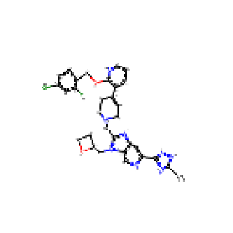 Cc1nnc(-c2cc3nc(CN4CC=C(c5cccnc5OCc5ccc(Cl)cc5F)CC4)n(C[C@@H]4CCO4)c3cn2)[nH]1